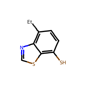 CCc1ccc(S)c2scnc12